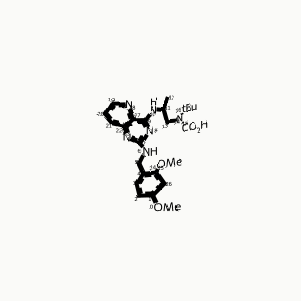 COc1ccc(CNc2nc(NC(C)CN(C(=O)O)C(C)(C)C)c3ncccc3n2)c(OC)c1